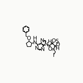 IC[C@H]1O[C@@H](n2cnc3c(NC4CCCC4OCc4ccccc4)ncnc32)[C@@H]2OSO[C@@H]21